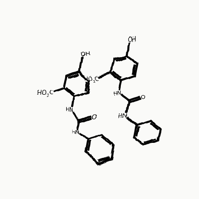 O=C(Nc1ccccc1)Nc1ccc(O)cc1C(=O)O.O=C(Nc1ccccc1)Nc1ccc(O)cc1C(=O)O